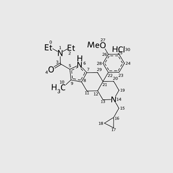 CCN(CC)C(=O)c1[nH]c2c(c1C)CC1CN(CC3CC3)CCC1(c1cccc(OC)c1)C2.Cl